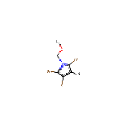 CCOCn1c(Br)c(Br)c(C#N)c1Br